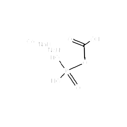 O=C(O)OP(=O)(O)O.[Co].[NaH].[NaH]